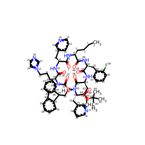 CCCC[C@H](NC(=O)[C@H](Cc1cccnc1)NC(=O)[C@H](CCCn1ccnc1)N(C)C(=O)OCC1c2ccccc2-c2ccccc21)C(=O)N[C@@H](Cc1ccccc1F)C(=O)N[C@@H](CCCC)C(=O)N(C)[C@@H](Cc1cccnc1)C(=O)OC(C)(C)C